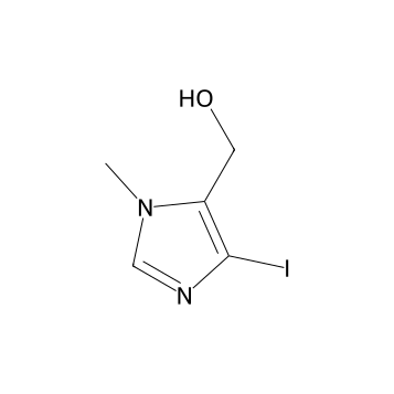 Cn1cnc(I)c1CO